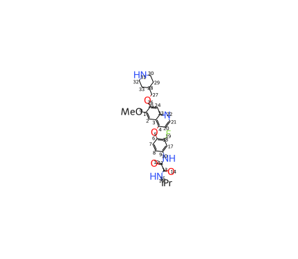 COc1cc2c(Oc3ccc(NC(=O)C(=O)NC(C)C)cc3F)ccnc2cc1OCC1CCNCC1